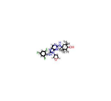 [2H]C1C(O)C([2H])([2H])CC([2H])(Nc2ncc3nc(Nc4c(F)cc(F)cc4F)n(C4CCOC4)c3n2)C1([2H])[2H]